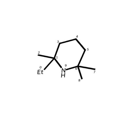 CCC1(C)CCCC(C)(C)N1